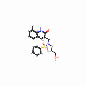 Cc1cccc2cc(CN(CCCO)S(=O)(=O)c3ccccc3)c(=O)[nH]c12